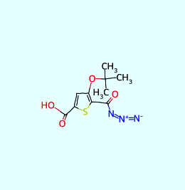 CC(C)(C)Oc1cc(C(=O)O)sc1C(=O)N=[N+]=[N-]